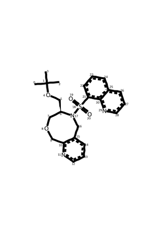 CC(C)(C)OC[C@@H]1COCc2ncccc2CN1S(=O)(=O)c1cccc2cccnc12